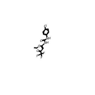 CCO/C(=C\C(=O)C(F)(F)F)NC(=O)Nc1ccc(Cl)cc1